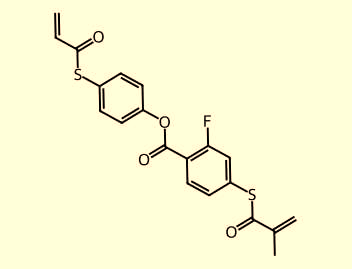 C=CC(=O)Sc1ccc(OC(=O)c2ccc(SC(=O)C(=C)C)cc2F)cc1